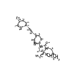 CCN1C(=O)N(c2ncc(C#Cc3ccc(F)cc3)cn2)CC1(C)C